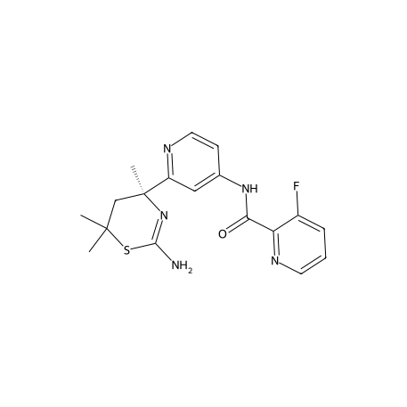 CC1(C)C[C@@](C)(c2cc(NC(=O)c3ncccc3F)ccn2)N=C(N)S1